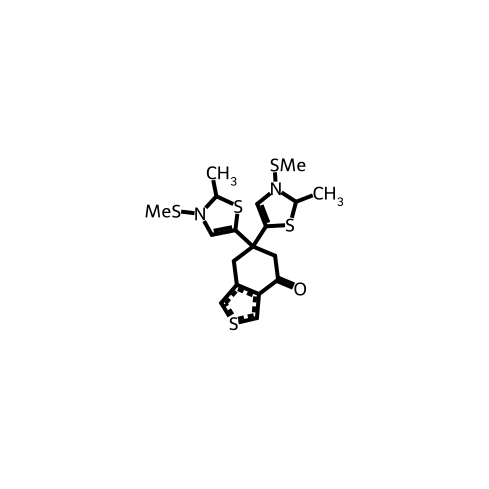 CSN1C=C(C2(C3=CN(SC)C(C)S3)CC(=O)c3cscc3C2)SC1C